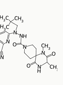 CC1NC(=O)C2(CCN(C(=O)NN(CC(C)(C)C)c3ccnc(C#N)n3)CC2)N(C)C1=O